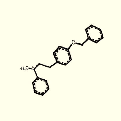 [CH2][C@@H](CCc1ccc(OCc2ccccc2)cc1)c1ccccc1